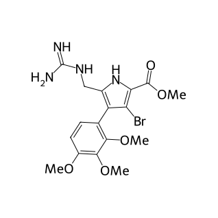 COC(=O)c1[nH]c(CNC(=N)N)c(-c2ccc(OC)c(OC)c2OC)c1Br